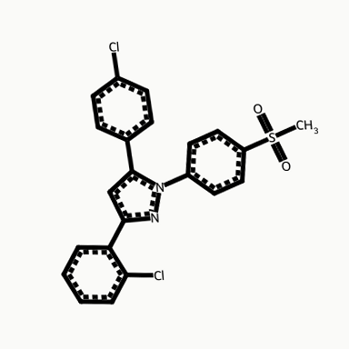 CS(=O)(=O)c1ccc(-n2nc(-c3ccccc3Cl)cc2-c2ccc(Cl)cc2)cc1